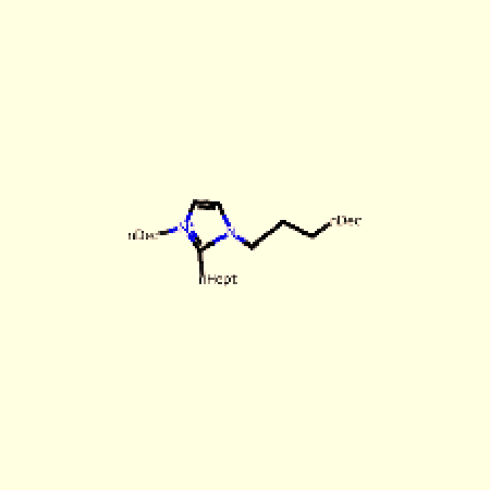 CCCCCCCCCCCCCn1cc[n+](CCCCCCCCCC)c1CCCCCCC